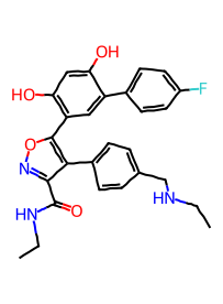 CCNCc1ccc(-c2c(C(=O)NCC)noc2-c2cc(-c3ccc(F)cc3)c(O)cc2O)cc1